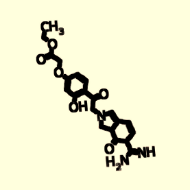 CCOC(=O)COc1ccc(C(=O)CN2C=C3C=CC(C(=N)N)C(=O)C3C2)c(O)c1